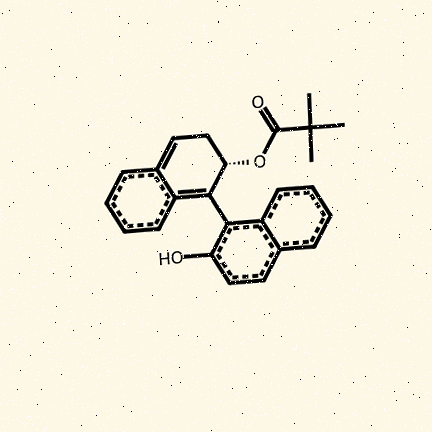 CC(C)(C)C(=O)O[C@H]1CC=c2ccccc2=C1c1c(O)ccc2ccccc12